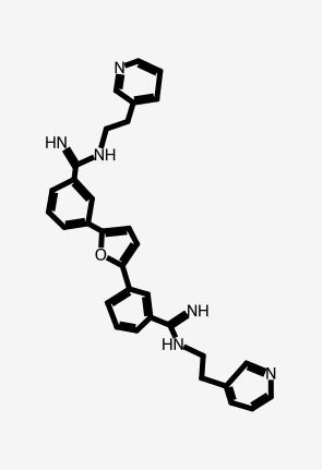 N=C(NCCc1cccnc1)c1cccc(-c2ccc(-c3cccc(C(=N)NCCc4cccnc4)c3)o2)c1